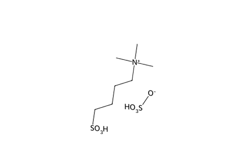 C[N+](C)(C)CCCCS(=O)(=O)O.O=S(=O)([O-])O